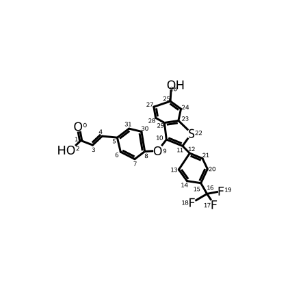 O=C(O)C=Cc1ccc(Oc2c(-c3ccc(C(F)(F)F)cc3)sc3cc(O)ccc23)cc1